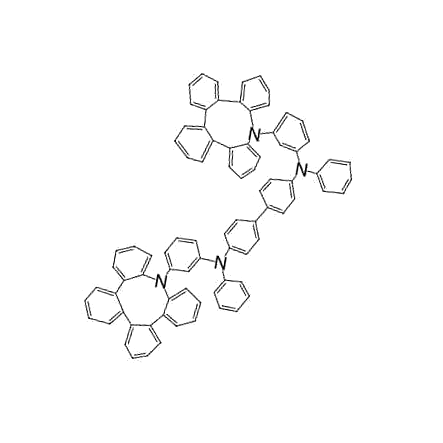 c1ccc(N(c2ccc(-c3ccc(N(c4ccccc4)c4cccc(-n5c6ccccc6c6ccccc6c6ccccc6c6ccccc65)c4)cc3)cc2)c2cccc(-n3c4ccccc4c4ccccc4c4ccccc4c4ccccc43)c2)cc1